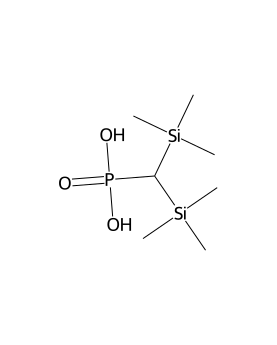 C[Si](C)(C)C([Si](C)(C)C)P(=O)(O)O